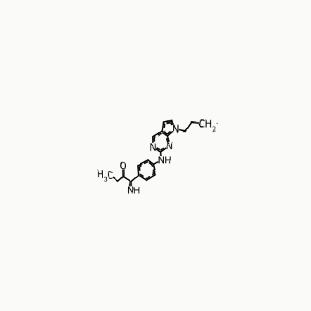 [CH2]CCn1ccc2cnc(Nc3ccc(C(=N)C(=O)CC)cc3)nc21